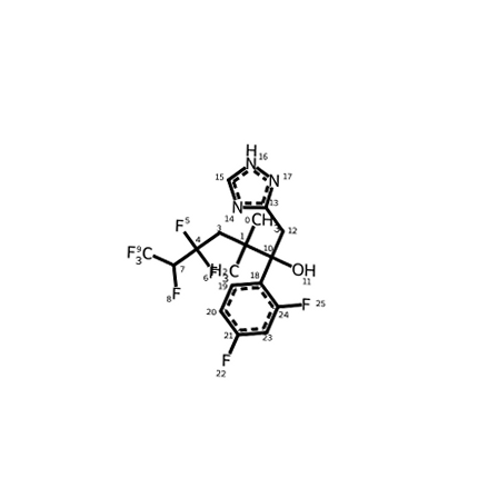 CC(C)(CC(F)(F)C(F)C(F)(F)F)C(O)(Cc1nc[nH]n1)c1ccc(F)cc1F